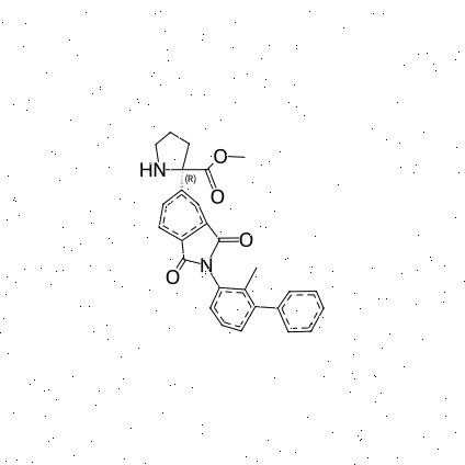 COC(=O)[C@]1(c2ccc3c(c2)C(=O)N(c2cccc(-c4ccccc4)c2C)C3=O)CCCN1